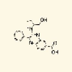 O=C(O)c1ccc2nc(-c3ccccc3)c(N3CCC[C@H]3CO)nc2c1